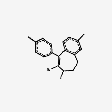 Cc1ccc(C2=C(Br)C(C)CCc3cc(C)ccc32)cc1